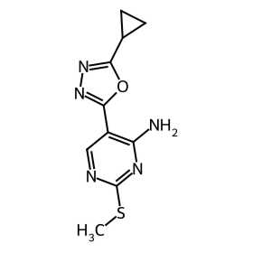 CSc1ncc(-c2nnc(C3CC3)o2)c(N)n1